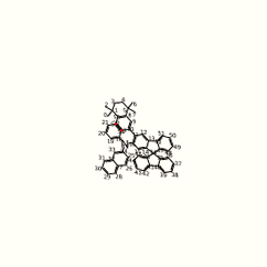 CC1(C)CCC(C)(C)c2cc(-c3cc4c(cc3N(c3ccccc3)c3ccc5ccccc5c3)C3(c5ccccc5-c5ccccc53)c3ccccc3-4)ccc21